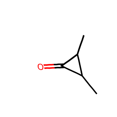 CC1C(=O)C1C